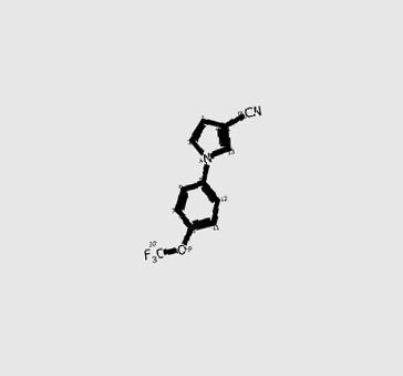 N#Cc1ccn(-c2ccc(OC(F)(F)F)cc2)c1